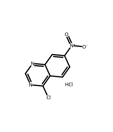 Cl.O=[N+]([O-])c1ccc2c(Cl)ncnc2c1